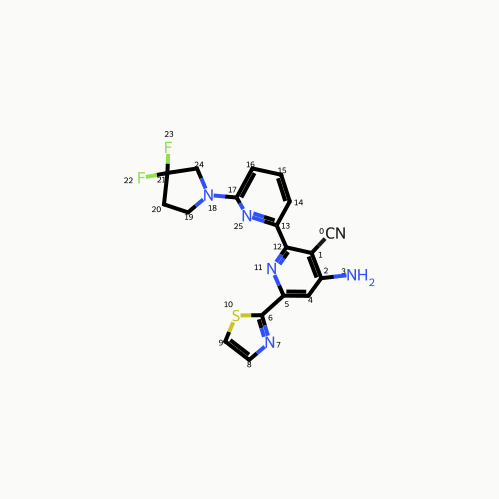 N#Cc1c(N)cc(-c2nccs2)nc1-c1cccc(N2CCC(F)(F)C2)n1